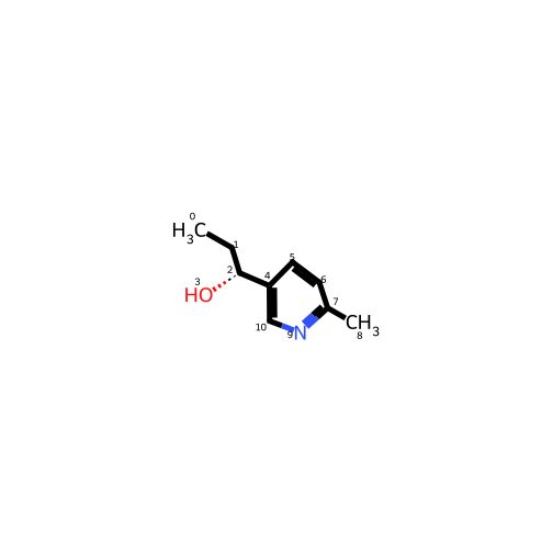 CC[C@@H](O)c1ccc(C)nc1